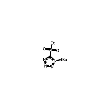 CCS(=O)(=O)c1nnnn1C(C)(C)C